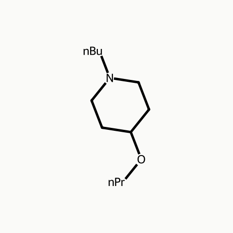 CCCCN1CCC(OCCC)CC1